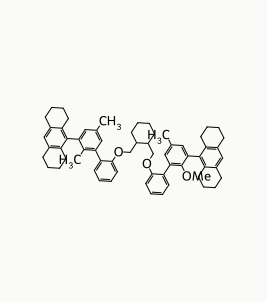 COc1c(-c2ccccc2OCC2CCCCC2COc2ccccc2-c2cc(C)cc(-c3c4c(cc5c3CCCC5)CCCC4)c2C)cc(C)cc1-c1c2c(cc3c1CCCC3)CCCC2